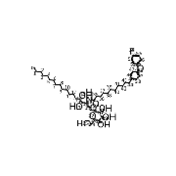 CCCCCCCCCCCCCC[C@H](O)[C@@H](O)[C@H](CO[C@H]1OC(CO)[C@H](O)[C@H](O)C1O)NC(=O)CCCCCCCCCCc1ccc(Oc2ccc(F)cc2)cc1